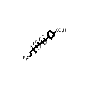 O=C(O)c1ccc(C(F)(F)C(F)(F)C(F)(F)C(F)(F)C(F)(F)CCC(F)(F)F)cc1